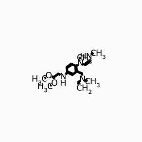 C=CN(C)Cc1cc(NCC(OC)OC)ccc1N(C)/C=C\NC